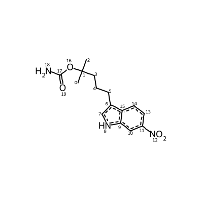 CC(C)(CCCc1c[nH]c2cc([N+](=O)[O-])ccc12)OC(N)=O